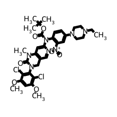 CCN1CCN(c2ccc(N(C(=O)OC(C)(C)C)c3cc4c(cn3)CN(c3c(Cl)c(OC)cc(OC)c3Cl)C(=O)N4C)c([N+](=O)[O-])c2)CC1